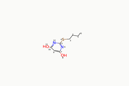 CCCCSc1nc(O)cc(O)n1